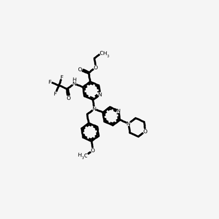 CCOC(=O)c1cnc(N(Cc2ccc(OC)cc2)c2ccc(N3CCOCC3)nc2)cc1NC(=O)C(F)(F)F